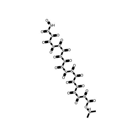 C[SiH](C)O[Si](=O)[Si](=O)[Si](=O)[Si](=O)[Si](=O)[Si](=O)[Si](=O)[Si](=O)[Si](=O)[Si](=O)[Si](=O)[Si](=O)[Si](=O)[Si](=O)[Si](=O)[Si](=O)[Si](=O)[Si](=O)[SiH]=O